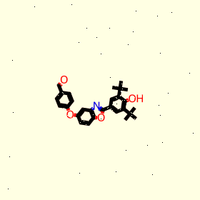 CC(C)(C)c1cc(-c2nc3cc(Oc4ccc(C=O)cc4)ccc3o2)cc(C(C)(C)C)c1O